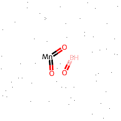 B=O.[O]=[Mn]=[O]